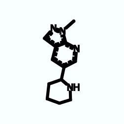 Cn1ncc2cc(C3CCCCN3)cnc21